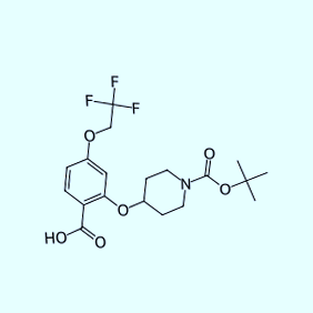 CC(C)(C)OC(=O)N1CCC(Oc2cc(OCC(F)(F)F)ccc2C(=O)O)CC1